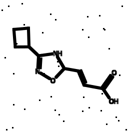 O=C(O)/C=C/C1NC(C2CCC2)=NO1